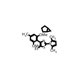 C1CC2CC2C1.CCc1sc(-n2c(C)ccc2C)nc1-c1c(OC)cc(C)cc1OC